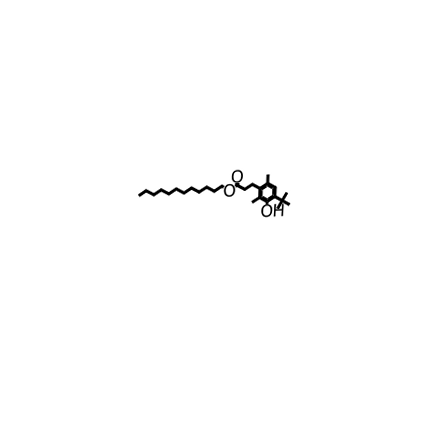 CCCCCCCCCCCCOC(=O)CCc1c(C)cc(C(C)(C)C)c(O)c1C